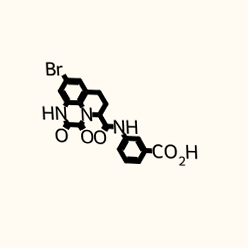 O=C(O)c1cccc(NC(=O)C2CCc3cc(Br)cc4[nH]c(=O)c(=O)n2c34)c1